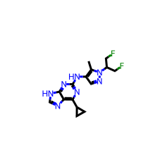 Cc1c(Nc2nc(C3CC3)c3nc[nH]c3n2)cnn1C(CF)CF